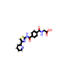 O=C(O)CNC(=O)c1ccc(C(=O)Nc2nc(-c3ccccn3)cs2)cc1